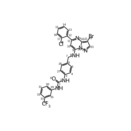 O=C(Nc1ccc(CNc2cc(-c3ccccc3Cl)nc3c(Br)cnn23)cc1)Nc1cccc(C(F)(F)F)c1